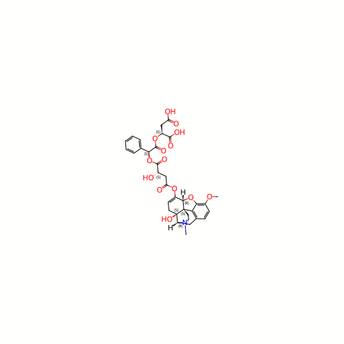 COc1ccc2c3c1O[C@H]1C(OC(=O)C[C@H](O)C(=O)O[C@H](C(=O)O[C@@H](CC(=O)O)C(=O)O)c4ccccc4)=CC[C@@]4(O)[C@@H](C2)N(C)CC[C@]314